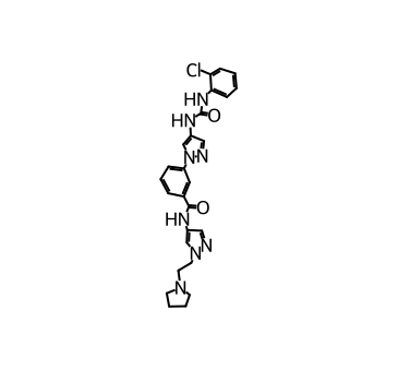 O=C(Nc1cnn(-c2cccc(C(=O)Nc3cnn(CCN4CCCC4)c3)c2)c1)Nc1ccccc1Cl